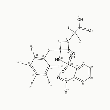 CC(C)(C(=O)O)N1CC(Cc2c(F)c(F)c(F)c(F)c2F)(NS(=O)(=O)c2ccccc2[N+](=O)[O-])C1=O